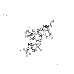 C=CCNC(=O)C(=O)C(CCC)NC(=O)C1[C@H]2[C@@H](CN1C(=O)C(NC(=O)OC(C)(C)C)C(C)(C)C)C2(C)C